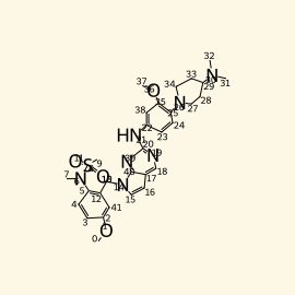 COc1ccc(N(C)S(C)(=O)=O)c(Cn2ccc3cnc(Nc4ccc(N5CCC(N(C)C)CC5)c(OC)c4)nc32)c1